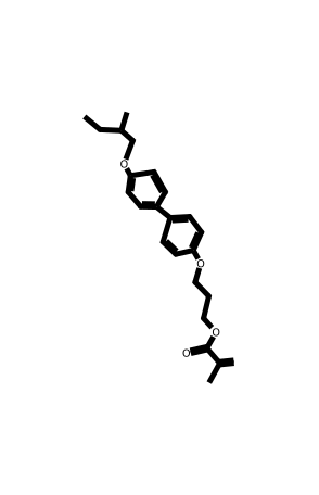 C=C(C)C(=O)OCCCOc1ccc(-c2ccc(OCC(C)CC)cc2)cc1